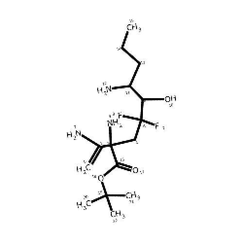 C=C(N)C(N)(CC(F)(F)C(O)C(N)CCC)C(=O)OC(C)(C)C